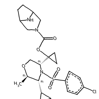 C[C@H]1OC[C@H](C2(OC(=O)N3CC4CCC(C3)N4)CC2)N(S(=O)(=O)c2ccc(Cl)cc2)[C@@H]1C1CC1